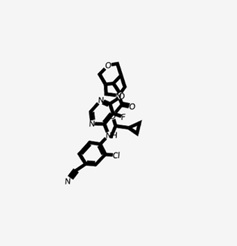 CC(OC(=O)N1CC2COCC(C1)C2Oc1ncnc(Nc2ccc(C#N)cc2Cl)c1F)C1CC1